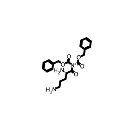 NCCC[C@H](N)C(=O)[N+](C(=O)OCc1ccccc1)C(=O)OCc1ccccc1